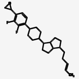 C/C=C/CCC1CCC2C(C3CCC(c4ccc(C5CO5)c(F)c4F)CC3)CCC12